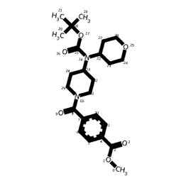 COC(=O)c1ccc(C(=O)N2CCC(N(C(=O)OC(C)(C)C)C3CCOCC3)CC2)cc1